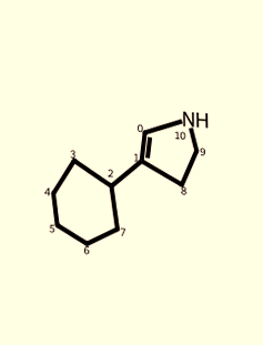 C1=C(C2CCCCC2)CCN1